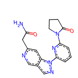 NC(=O)Cc1cc2c(cn1)cnn2-c1cccc(N2CCCC2=O)n1